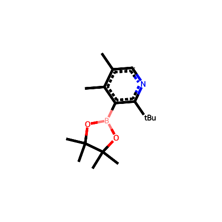 Cc1[c]nc(C(C)(C)C)c(B2OC(C)(C)C(C)(C)O2)c1C